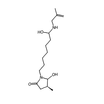 C=C(C)CNC(O)CCCCCCN1C(=O)C[C@H](C)C1O